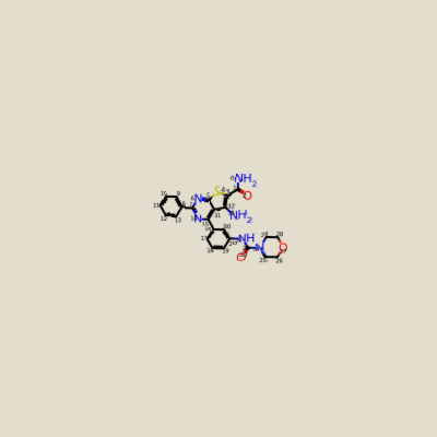 NC(=O)c1sc2nc(-c3ccccc3)nc(-c3cccc(NC(=O)N4CCOCC4)c3)c2c1N